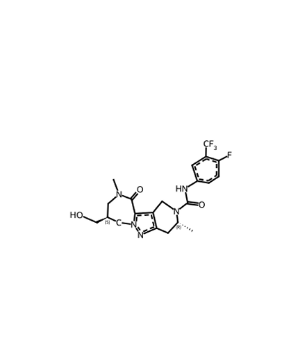 C[C@@H]1Cc2nn3c(c2CN1C(=O)Nc1ccc(F)c(C(F)(F)F)c1)C(=O)N(C)C[C@H](CO)C3